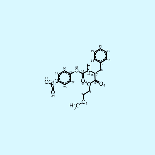 COCCOC(=O)[C@H](Cc1ccccc1)NC(=O)Oc1ccc([N+](=O)[O-])cc1